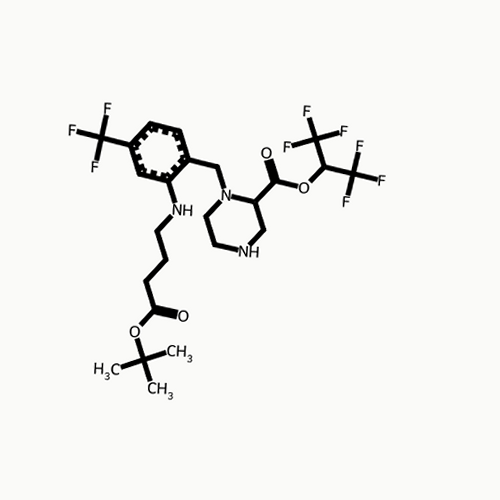 CC(C)(C)OC(=O)CCCNc1cc(C(F)(F)F)ccc1CN1CCNCC1C(=O)OC(C(F)(F)F)C(F)(F)F